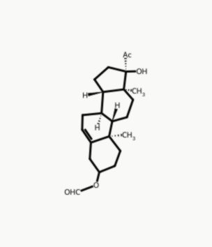 CC(=O)[C@@]1(O)CC[C@H]2[C@@H]3CC=C4CC(OC=O)CC[C@]4(C)[C@H]3CC[C@@]21C